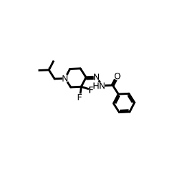 C[C](C)CN1CCC(=NNC(=O)c2ccccc2)C(F)(F)C1